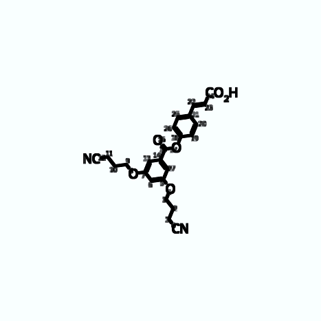 N#CCCCOc1cc(OCCCC#N)cc(C(=O)Oc2ccc(/C=C/C(=O)O)cc2)c1